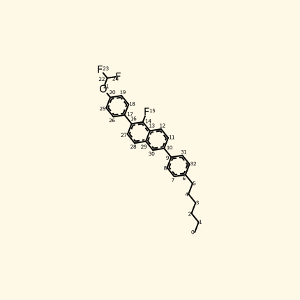 CCCCCCc1ccc(-c2ccc3c(F)c(-c4ccc(OC(F)F)cc4)ccc3c2)cc1